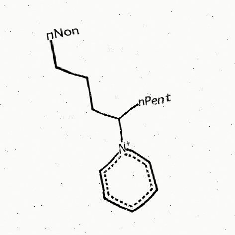 CCCCCCCCCCCCC(CCCCC)[n+]1ccccc1